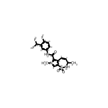 CC1C=Cc2c(cn(C)c2C(=O)Nc2ccc(F)c(C(F)F)c2)S(=O)(=O)N1